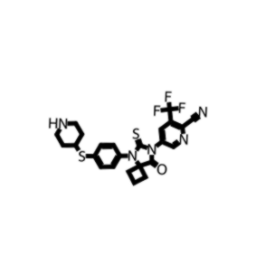 N#Cc1ncc(N2C(=O)C3(CCC3)N(c3ccc(SC4CCNCC4)cc3)C2=S)cc1C(F)(F)F